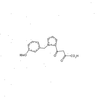 COc1cccc(Cn2cccc2C(=O)CC(=O)C(=O)O)c1